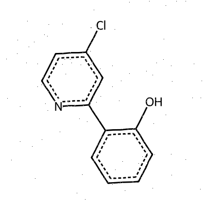 Oc1ccccc1-c1cc(Cl)ccn1